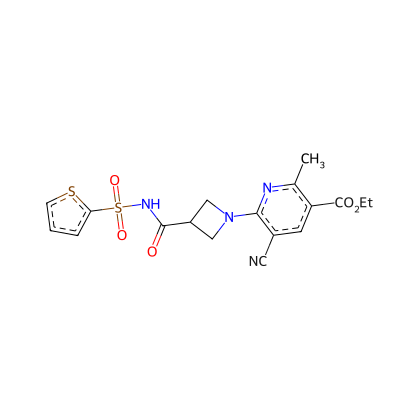 CCOC(=O)c1cc(C#N)c(N2CC(C(=O)NS(=O)(=O)c3cccs3)C2)nc1C